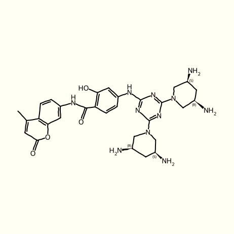 Cc1cc(=O)oc2cc(NC(=O)c3ccc(Nc4nc(N5C[C@H](N)C[C@H](N)C5)nc(N5C[C@H](N)C[C@H](N)C5)n4)cc3O)ccc12